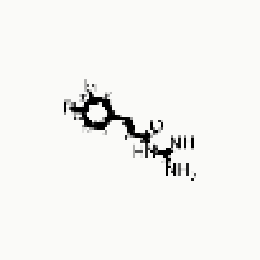 N=C(N)NC(=O)C=Cc1ccc(F)c(F)c1